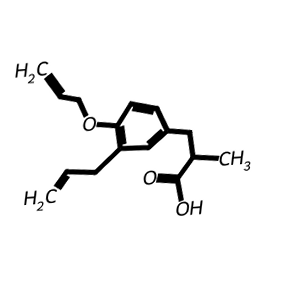 C=CCOc1ccc(CC(C)C(=O)O)cc1CC=C